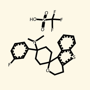 CN(C)C1(c2cccc(F)c2)CCC2(CC1)OCCc1sc3ccccc3c12.O=S(=O)(O)C(F)(F)F